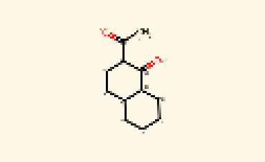 CC(=O)C1CCC2CCCCC2C1=O